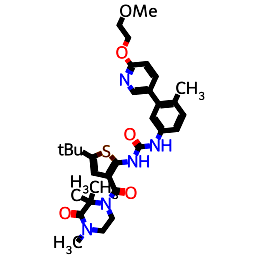 COCCOc1ccc(-c2cc(NC(=O)Nc3sc(C(C)(C)C)cc3C(=O)N3CCN(C)C(=O)C3(C)C)ccc2C)cn1